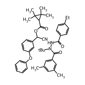 CC1(C)C(C(=O)OC(C#N)c2cccc(Oc3ccccc3)c2)C1(C)C.CCc1ccc(C(=O)NN(C(=O)c2cc(C)cc(C)c2)C(C)(C)C)cc1